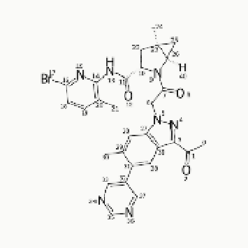 CC(=O)c1nn(CC(=O)N2[C@H](C(=O)Nc3nc(Br)ccc3C)C[C@@]3(C)C[C@@H]23)c2cc(C)c(-c3cncnc3)cc12